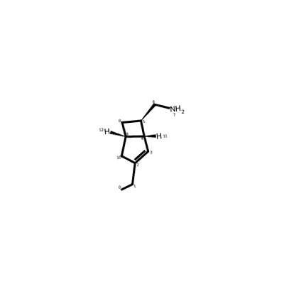 CCC1=C[C@H]2[C@H](CN)C[C@H]2C1